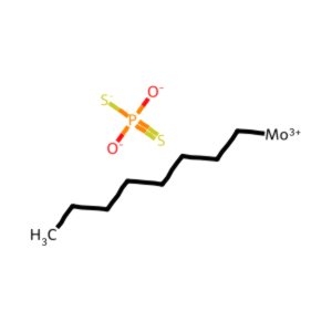 CCCCCCC[CH2][Mo+3].[O-]P([O-])(=S)[S-]